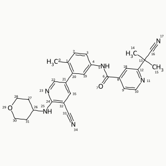 Cc1ccc(NC(=O)c2ccnc(C(C)(C)C#N)c2)cc1-c1cnc(NC2CCOCC2)c(C#N)c1